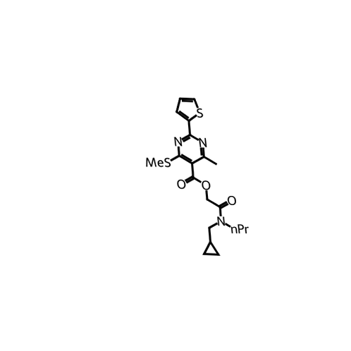 CCCN(CC1CC1)C(=O)COC(=O)c1c(C)nc(-c2cccs2)nc1SC